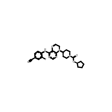 N#Cc1ccc(Nc2ncnc3c2OCCN3C2CCN(C(=O)OC3CCCC3)CC2)c(F)c1